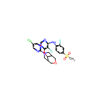 CS(=O)(=O)c1ccc(Nc2ncnc(OC3C4COCC3CN(c3ncc(Cl)cn3)C4)c2F)c(F)c1